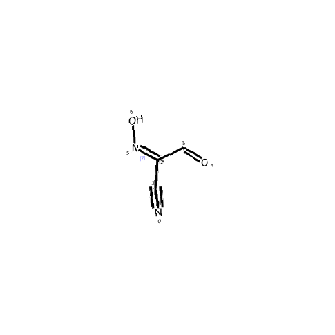 N#C/C([C]=O)=N/O